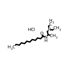 CCCCCCCCCCCC(=O)NC(C)CN(CC)CC.Cl